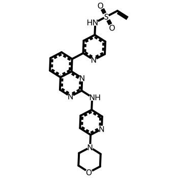 C=CS(=O)(=O)Nc1ccnc(-c2cccc3cnc(Nc4ccc(N5CCOCC5)nc4)nc23)c1